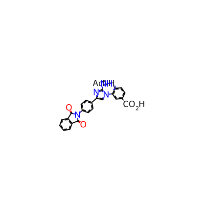 CC(=O)Nc1ccc(C(=O)O)cc1-n1cc(-c2ccc(N3C(=O)c4ccccc4C3=O)cc2)nc1N